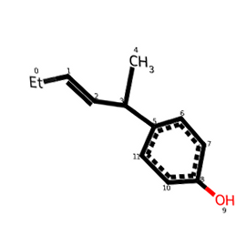 CCC=CC(C)c1ccc(O)cc1